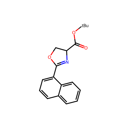 CC(C)(C)OC(=O)C1COC(c2cccc3ccccc23)=N1